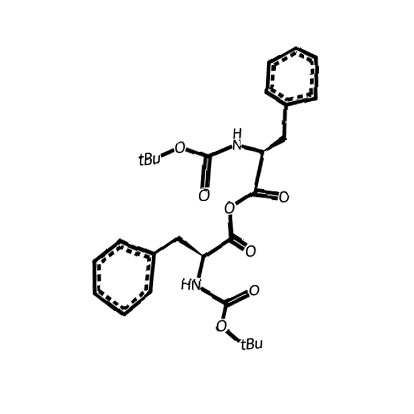 CC(C)(C)OC(=O)N[C@@H](Cc1ccccc1)C(=O)OC(=O)[C@H](Cc1ccccc1)NC(=O)OC(C)(C)C